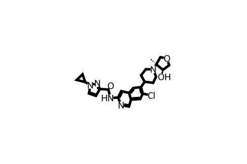 C[C@]1(N2CCC(c3cc4cc(NC(=O)c5ccn(C6CC6)n5)ncc4cc3Cl)CC2)COC[C@H]1O